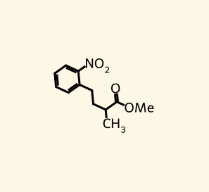 COC(=O)C(C)CCc1ccccc1[N+](=O)[O-]